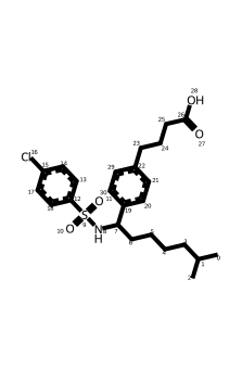 CC(C)CCCCC(NS(=O)(=O)c1ccc(Cl)cc1)c1ccc(CCCC(=O)O)cc1